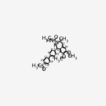 CNC(=O)N1N=C(c2ccc(-c3ccc([S+](C)[O-])cc3)cc2)c2cc(OC)c(OC)cc2CC1C